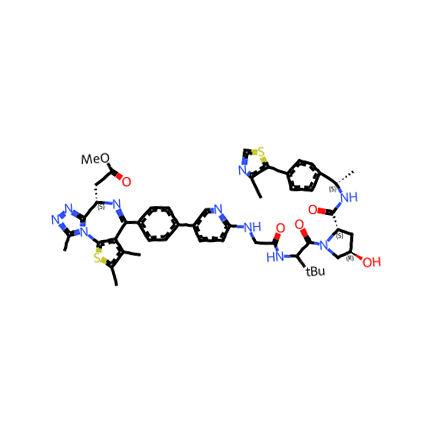 COC(=O)C[C@@H]1N=C(c2ccc(-c3ccc(NCC(=O)NC(C(=O)N4C[C@H](O)C[C@H]4C(=O)N[C@@H](C)c4ccc(-c5scnc5C)cc4)C(C)(C)C)nc3)cc2)c2c(sc(C)c2C)-n2c(C)nnc21